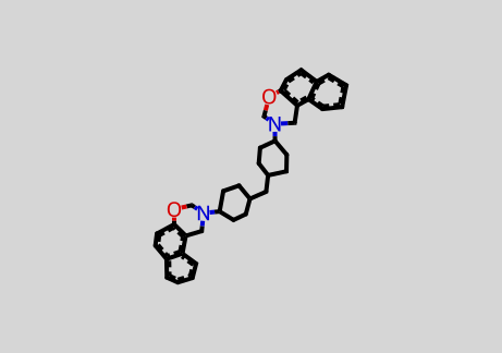 c1ccc2c3c(ccc2c1)OCN(C1CCC(CC2CCC(N4COc5ccc6ccccc6c5C4)CC2)CC1)C3